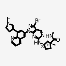 CNC(=O)[C@]1(C)CC[C@@H](Nc2ncc3c(Br)nn(-c4cc(C5CCNC5)c5ncccc5c4)c3n2)C1